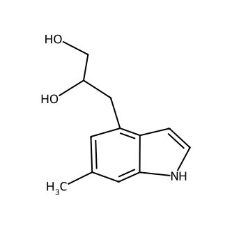 Cc1cc(CC(O)CO)c2cc[nH]c2c1